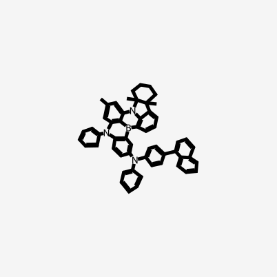 Cc1cc2c3c(c1)N1c4c(cccc4C4(C)CCCCC14C)B3c1cc(N(c3ccccc3)c3ccc(-c4cccc5ccccc45)cc3)ccc1N2c1ccccc1